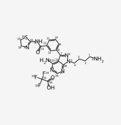 NCCCCn1nc(-c2cccc(C(=O)NC3=NCCS3)c2)c2c(N)ncnc21.O=C(O)C(F)(F)F